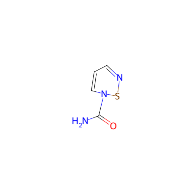 NC(=O)N1C=CC=NS1